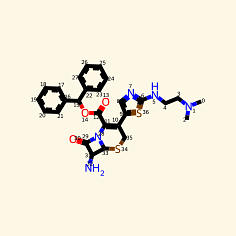 CN(C)CCNc1ncc(C2=C(C(=O)OC(c3ccccc3)c3ccccc3)N3C(=O)C(N)C3SC2)s1